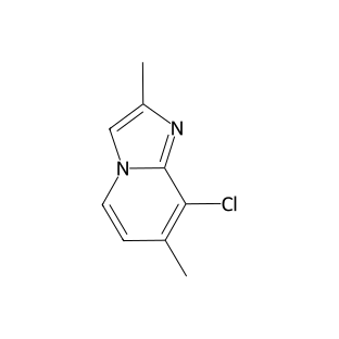 Cc1cn2ccc(C)c(Cl)c2n1